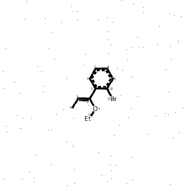 [CH2]COC(=CC)c1ccccc1Br